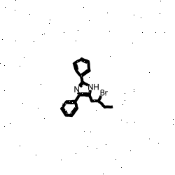 CCC(Br)Cc1[nH]c(-c2ccccc2)nc1-c1ccccc1